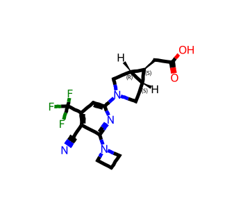 N#Cc1c(C(F)(F)F)cc(N2C[C@@H]3[C@@H](CC(=O)O)[C@@H]3C2)nc1N1CCC1